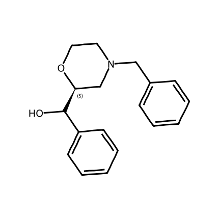 OC(c1ccccc1)[C@@H]1CN(Cc2ccccc2)CCO1